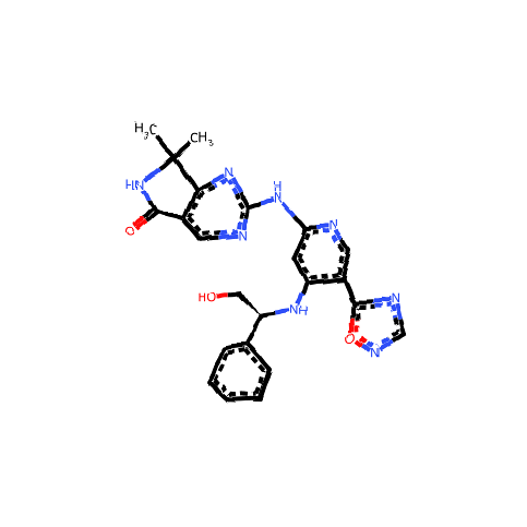 CC1(C)NC(=O)c2cnc(Nc3cc(N[C@H](CO)c4ccccc4)c(-c4ncno4)cn3)nc21